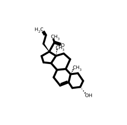 C=CC[C@]1(C(C)=O)CCC2C3CC=C4C[C@@H](O)CC[C@]4(C)C3CC[C@@]21C